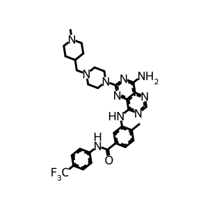 Cc1ccc(C(=O)Nc2ccc(C(F)(F)F)cc2)cc1Nc1ncnc2c(N)nc(N3CCN(CC4CCN(C)CC4)CC3)nc12